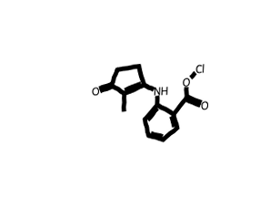 CC1=C(Nc2ccccc2C(=O)OCl)CCC1=O